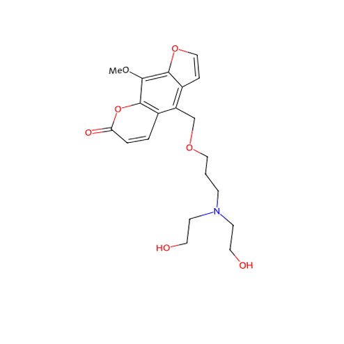 COc1c2occc2c(COCCCN(CCO)CCO)c2ccc(=O)oc12